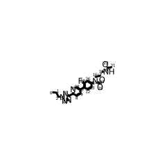 CCCn1nnc(-c2ccc(-c3ccc(N4C[C@H](CNC(C)=O)OC4=O)cc3F)cn2)n1